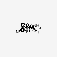 CCc1cc(NC(=O)C(=O)N2CCCC[C@H]2c2cc(Cl)cc(Cl)c2)cnc1N